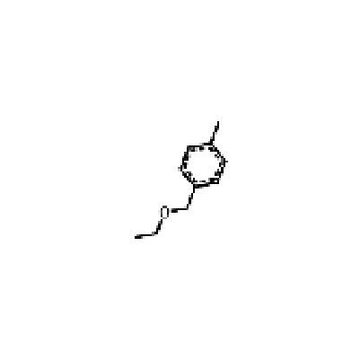 CCOCc1ccc(C)cc1